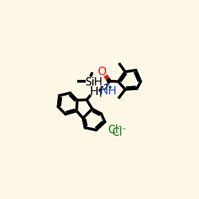 Cc1cccc(C)c1C(=O)[NH][Hf+2]([CH]1c2ccccc2-c2ccccc21)[SiH](C)C.[Cl-].[Cl-]